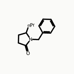 CCCC1CCC(=O)N1Cc1ccccc1